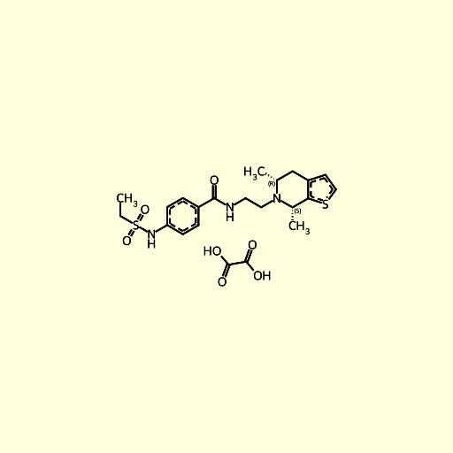 CCS(=O)(=O)Nc1ccc(C(=O)NCCN2[C@H](C)Cc3ccsc3[C@@H]2C)cc1.O=C(O)C(=O)O